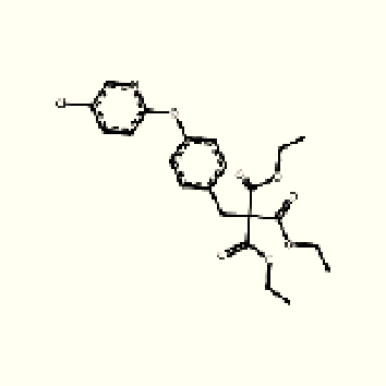 CCOC(=O)C(Cc1ccc(Oc2ccc(Cl)cn2)cc1)(C(=O)OCC)C(=O)OCC